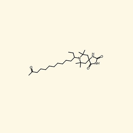 CCC(CCCCCCCCCC(C)=O)N1C(C)(C)CC2(CC1(C)C)NC(=O)NC2=O